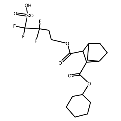 O=C(OCCC(F)(F)C(F)(F)S(=O)(=O)O)C1C2CCC(C2)C1C(=O)OC1CCCCC1